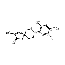 CC(C)(C)OC(=O)CC1(O)CCN(c2cc(Cl)c(N)cc2Cl)CC1